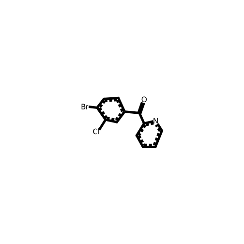 O=C(c1ccc(Br)c(Cl)c1)c1ccccn1